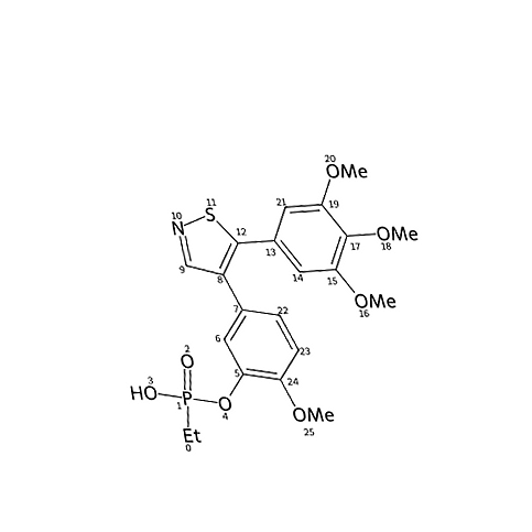 CCP(=O)(O)Oc1cc(-c2cnsc2-c2cc(OC)c(OC)c(OC)c2)ccc1OC